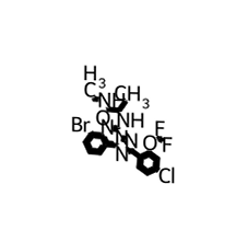 CCNC(=O)C(CC)Nc1nc2c(Br)cccc2c2nc(-c3ccc(Cl)cc3OC(F)F)nn12